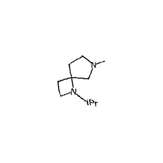 CC(C)N1CCC12CCN(C)C2